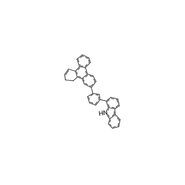 C1=Cc2c(c3cc(-c4cccc(-c5cccc6c5[nH]c5ccccc56)c4)ccc3c3ccccc23)CC1